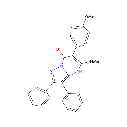 CNc1[nH]c2c(-c3ccccc3)c(-c3ccccc3)nn2c(=O)c1-c1ccc(OC)cc1